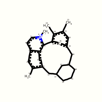 Cc1cc2cc[n+](C)c3c2cc1CC1CCCC(Cc2cc(C)c(C)c-3c2)C1